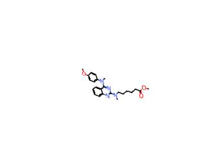 COC(=O)CCCCCN(C)c1nc(N(C)c2ccc(OC)cc2)c2ccccc2n1